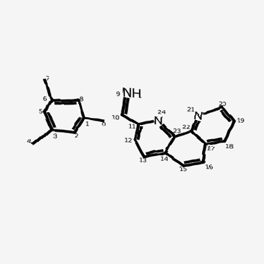 Cc1cc(C)cc(C)c1.N=Cc1ccc2ccc3cccnc3c2n1